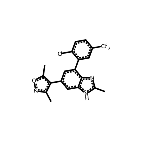 Cc1nc2c(-c3cc(C(F)(F)F)ccc3Cl)cc(-c3c(C)noc3C)cc2[nH]1